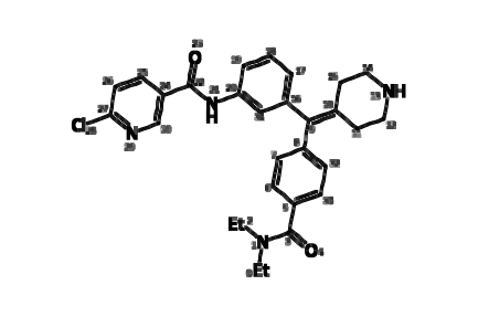 CCN(CC)C(=O)c1ccc(C(=C2CCNCC2)c2cccc(NC(=O)c3ccc(Cl)nc3)c2)cc1